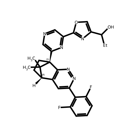 CCC(O)c1coc(-c2cncc([C@@]34CC[C@@H](c5cc(-c6c(F)cccc6F)nnc53)C4(C)C)n2)n1